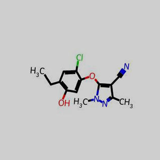 CCc1cc(Cl)c(Oc2c(C#N)c(C)nn2C)cc1O